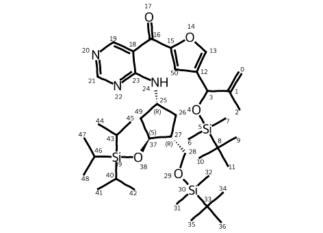 C=C(C)C(O[Si](C)(C)C(C)(C)C)c1coc(C(=O)c2cncnc2N[C@@H]2C[C@H](CO[Si](C)(C)C(C)(C)C)[C@@H](O[Si](C(C)C)(C(C)C)C(C)C)C2)c1